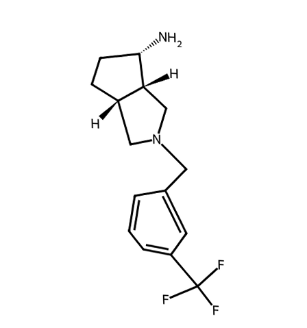 N[C@H]1CC[C@H]2CN(Cc3cccc(C(F)(F)F)c3)C[C@H]21